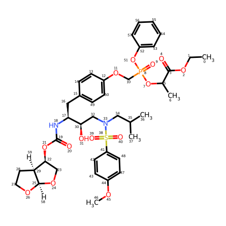 CCOC(=O)C(C)OP(=O)(COc1ccc(C[C@H](NC(=O)O[C@H]2CO[C@H]3OCC[C@H]32)[C@H](O)CN(CC(C)C)S(=O)(=O)c2ccc(OC)cc2)cc1)Oc1ccccc1